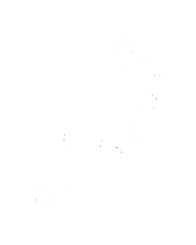 CCOc1ccccc1OCC1CC(C(=O)OCOC(=O)CN(C)CC(=O)OCOC(=O)N2CCOC(COc3ccccc3OCC)C2)CCO1